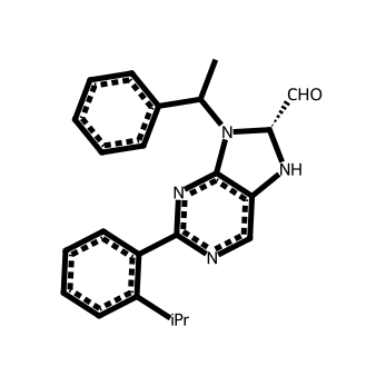 CC(C)c1ccccc1-c1ncc2c(n1)N(C(C)c1ccccc1)[C@H](C=O)N2